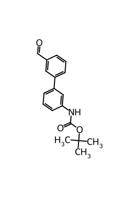 CC(C)(C)OC(=O)Nc1cccc(-c2cccc(C=O)c2)c1